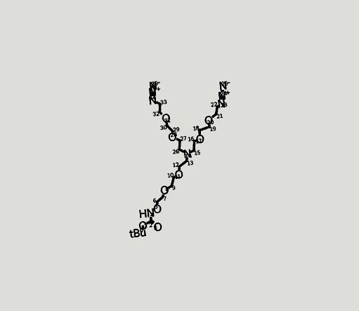 CC(C)(C)OC(=O)NOCCOCCOCCN(CCOCCOCCN=[N+]=[N-])CCOCCOCCN=[N+]=[N-]